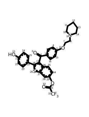 O=C(c1ccc(OCCN2CCCCC2)cc1)c1c(-c2ccc(O)cc2)sc2cc(OC(=O)C(F)(F)F)ccc12